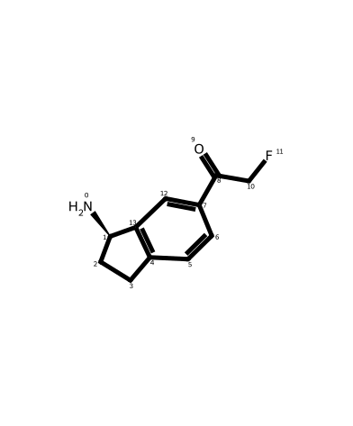 N[C@@H]1CCc2ccc(C(=O)CF)cc21